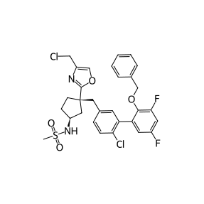 CS(=O)(=O)N[C@H]1CC[C@](Cc2ccc(Cl)c(-c3cc(F)cc(F)c3OCc3ccccc3)c2)(c2nc(CCl)co2)C1